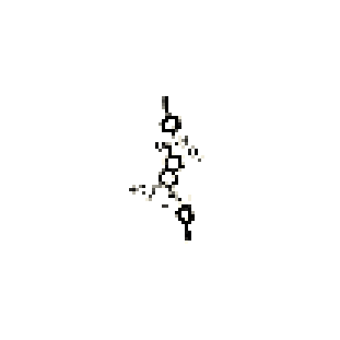 C#Cc1ccc(NC(=O)C2CC3CC(C(=O)O)C(C(=O)Nc4ccc(C#C)cc4)CC3CC2C(=O)O)cc1